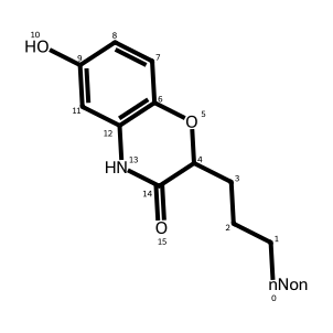 CCCCCCCCCCCCC1Oc2ccc(O)cc2NC1=O